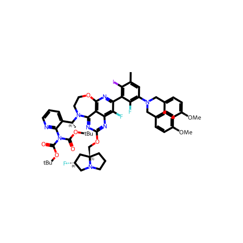 COc1ccc(CN(Cc2ccc(OC)cc2)c2cc(C)c(I)c(-c3nc4c5c(nc(OC[C@@]67CCCN6C[C@H](F)C7)nc5c3F)N([C@H](C)c3cccnc3N(C(=O)OC(C)(C)C)C(=O)OC(C)(C)C)CCO4)c2F)cc1